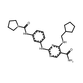 NC(=O)c1cnc(Nc2cccc(NC(=O)N3CCCC3)c2)nc1NCC1CCCC1